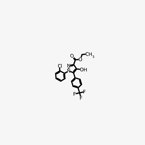 CCOC(=O)c1nn(-c2ccccc2Cl)c(-c2ccc(C(F)(F)F)cc2)c1O